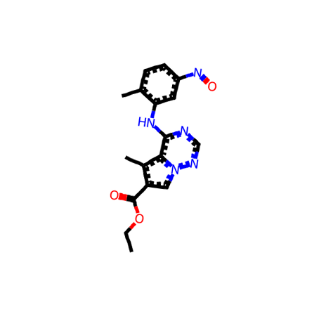 CCOC(=O)c1cn2ncnc(Nc3cc(N=O)ccc3C)c2c1C